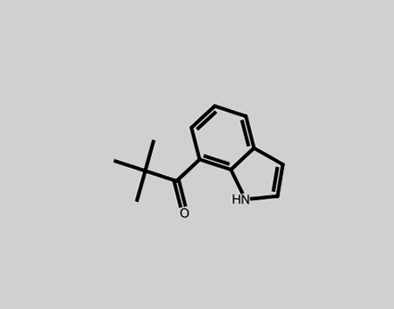 CC(C)(C)C(=O)c1cccc2cc[nH]c12